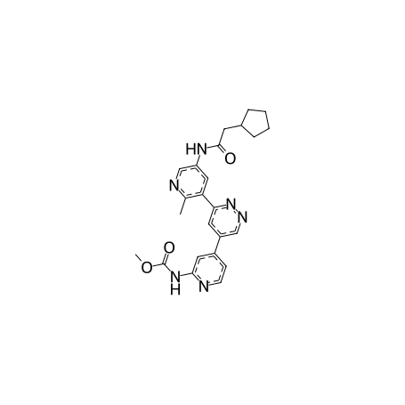 COC(=O)Nc1cc(-c2cnnc(-c3cc(NC(=O)CC4CCCC4)cnc3C)c2)ccn1